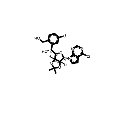 CC1(C)O[C@H]2[C@@H](O1)[C@H](n1ccc3c(Cl)ncnc31)O[C@@H]2[C@H](O)c1cc(Cl)ccc1CO